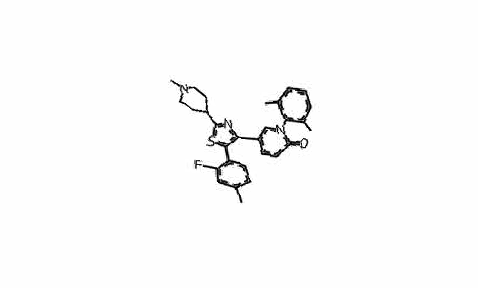 Cc1ccc(-c2sc(C3CCN(C)CC3)nc2-c2ccc(=O)n(-c3c(C)cccc3C)c2)c(F)c1